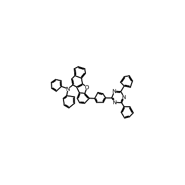 c1ccc(-c2nc(-c3ccccc3)nc(-c3ccc(-c4cccc5c4oc4c6ccccc6cc(N(c6ccccc6)c6ccccc6)c54)cc3)n2)cc1